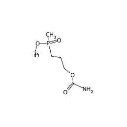 CC(C)OP(C)(=O)CCCOC(N)=O